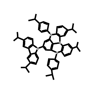 CC(C)c1ccc(N2c3ccc(C(C)C)cc3B3c4cc(C(C)C)ccc4N(c4ccc(C(C)C)cc4)c4cc(-n5c6ccc(C(C)C)cc6c6cc(C(C)C)ccc65)cc2c43)cc1